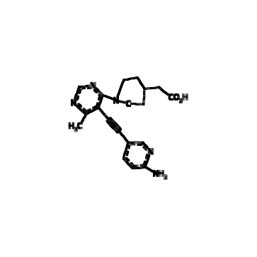 Cc1ncnc(N2CCC(CC(=O)O)CC2)c1C#Cc1ccc(N)nc1